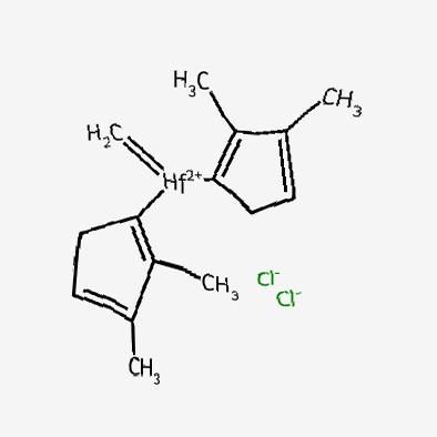 [CH2]=[Hf+2]([C]1=C(C)C(C)=CC1)[C]1=C(C)C(C)=CC1.[Cl-].[Cl-]